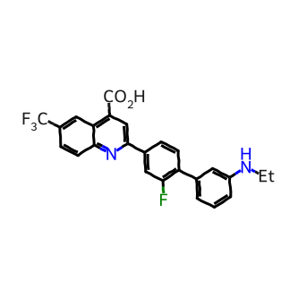 CCNc1cccc(-c2ccc(-c3cc(C(=O)O)c4cc(C(F)(F)F)ccc4n3)cc2F)c1